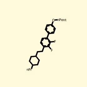 CCCCCOc1ccc(-c2ccc(CCC3CCC(CCC)CC3)c(F)c2F)cc1